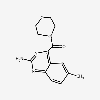 Cc1ccc2nc(N)nc(C(=O)N3CCOCC3)c2c1